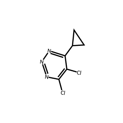 Clc1nnnc(C2CC2)c1Cl